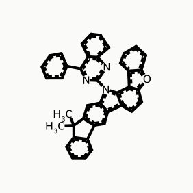 CC1(C)c2ccccc2-c2cc3c4ccc5oc6ccccc6c5c4n(-c4nc(-c5ccccc5)c5ccccc5n4)c3cc21